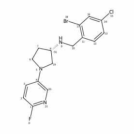 Fc1ccc(N2CC[C@H](NCc3ccc(Cl)cc3Br)C2)cn1